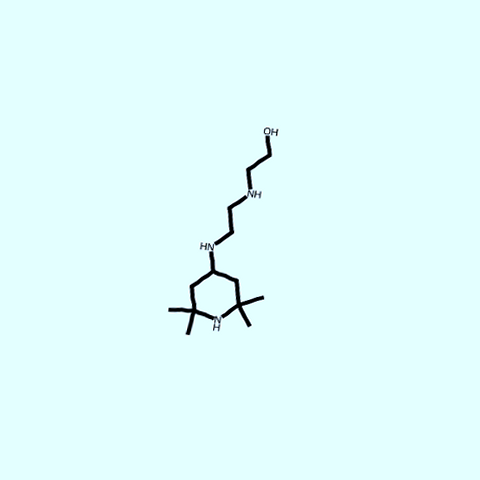 CC1(C)CC(NCCNCCO)CC(C)(C)N1